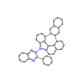 c1ccc(-c2nc3ccccc3nc2-n2c3cccc4c3c3c5c(cccc5ccc32)-c2cc3ccccc3cc2-4)cc1